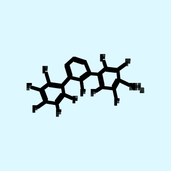 Nc1c(F)c(F)c(-c2cccc(-c3c(F)c(F)c(F)c(F)c3F)c2F)c(F)c1F